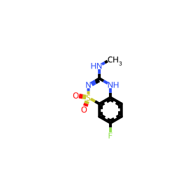 CNC1=NS(=O)(=O)c2cc(F)ccc2N1